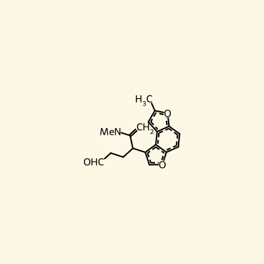 C=C(NC)C(CCC=O)c1coc2ccc3oc(C)cc3c12